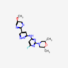 COc1cnc(-c2cnnc(Nc3cc(F)nc(N4C[C@@H](C)O[C@@H](C)C4)n3)c2)nc1